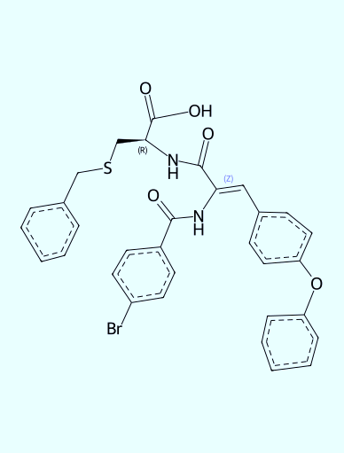 O=C(N[C@@H](CSCc1ccccc1)C(=O)O)/C(=C/c1ccc(Oc2ccccc2)cc1)NC(=O)c1ccc(Br)cc1